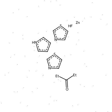 CCC(=O)CC.F.[Zn].c1cc[nH]c1.c1cscn1.c1cscn1